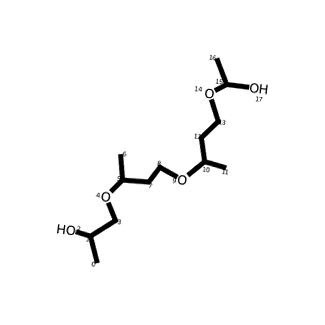 CC(O)COC(C)CCOC(C)CCOC(C)O